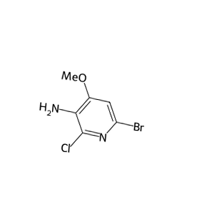 COc1cc(Br)nc(Cl)c1N